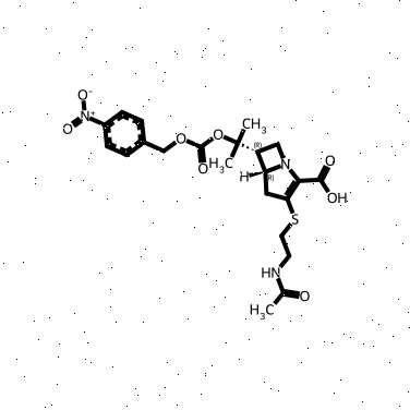 CC(=O)NCCSC1=C(C(=O)O)N2C[C@@H](C(C)(C)OC(=O)OCc3ccc([N+](=O)[O-])cc3)[C@H]2C1